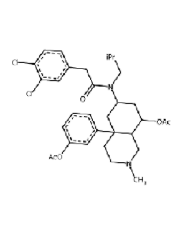 CC(=O)Oc1cccc(C23CCN(C)CC2C(OC(C)=O)CC(N(CC(C)C)C(=O)Cc2ccc(Cl)c(Cl)c2)C3)c1